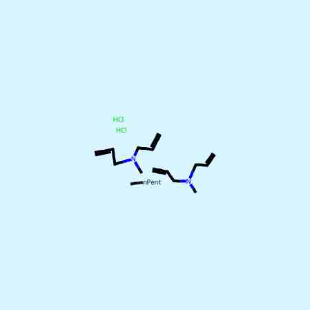 C=CCN(C)CC=C.C=CCN(C)CC=C.CCCCCC.Cl.Cl